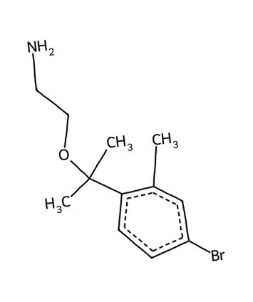 Cc1cc(Br)ccc1C(C)(C)OCCN